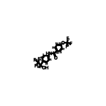 CC(O)(c1ccc(NC(=O)c2ccc(OC(F)(F)F)cc2)cc1)C(F)(F)F